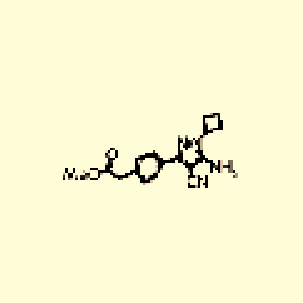 COC(=O)Cc1ccc(-c2nn(C3CCC3)c(N)c2C#N)cc1